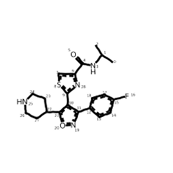 CC(C)NC(=O)c1csc(-c2c(-c3ccc(F)cc3)noc2C2CCNCC2)n1